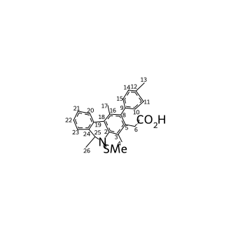 CSN1c2c(C)c(CC(=O)O)c(-c3ccc(C)cc3)c(C)c2-c2ccccc2C1C